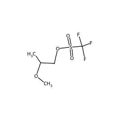 COC(C)COS(=O)(=O)C(F)(F)F